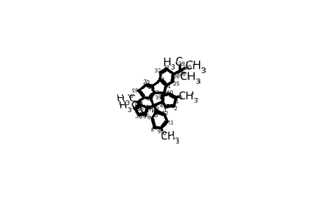 Cc1ccc(C(c2ccc(C)cc2)(c2c(C(C)(C)C)ccc3c2Cc2cc(C(C)(C)C)ccc2-3)C2C=CC=C2)cc1